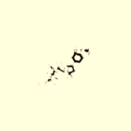 CC(C)c1nsc(N(C)C(=O)CN2C[C@H](c3ccc(OC(F)F)c(C(C)C)c3)CC2=O)n1